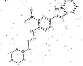 O=[N+]([O-])c1cc(-c2nc3ccccc3o2)ccc1NCCCN1CCOCC1